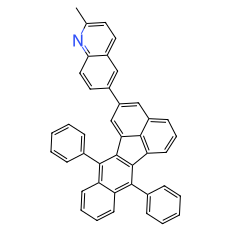 Cc1ccc2cc(-c3cc4c5c(cccc5c3)-c3c-4c(-c4ccccc4)c4ccccc4c3-c3ccccc3)ccc2n1